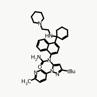 Cc1ccc(-n2nc(C(C)(C)C)cc2N(C(N)=O)c2ccc(C3(NCCN4CCCCC4)C=CCCC3)c3ccccc23)cn1